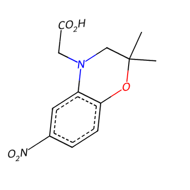 CC1(C)CN(CC(=O)O)c2cc([N+](=O)[O-])ccc2O1